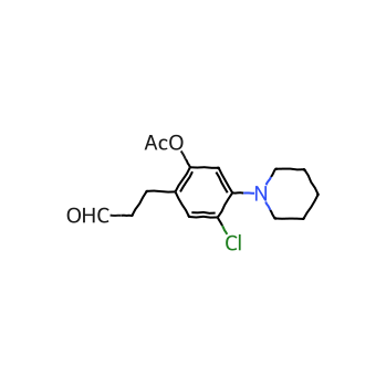 CC(=O)Oc1cc(N2CCCCC2)c(Cl)cc1CCC=O